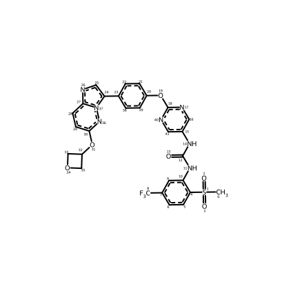 CS(=O)(=O)c1ccc(C(F)(F)F)cc1NC(=O)Nc1cnc(Oc2ccc(-c3cnc4ccc(OC5COC5)nn34)cc2)nc1